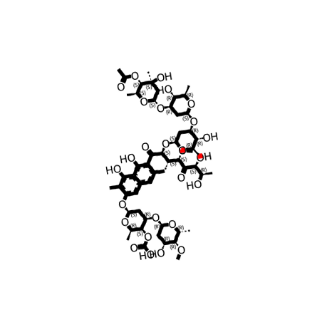 CO[C@@H]1[C@H](O)C[C@@H](O[C@@H]2C[C@H](Oc3cc4cc5c(c(O)c4c(O)c3C)C(=O)[C@@H](O[C@H]3C[C@@H](O[C@H]4C[C@@H](O[C@H]6C[C@](C)(O)[C@@H](OC(C)=O)[C@H](C)O6)[C@H](O)[C@@H](C)O4)[C@H](O)[C@@H](C)O3)[C@H]([C@H](OC)C(=O)[C@@H](O)[C@@H](C)O)C5)O[C@H](C)[C@@H]2OC(=O)O)O[C@@H]1C